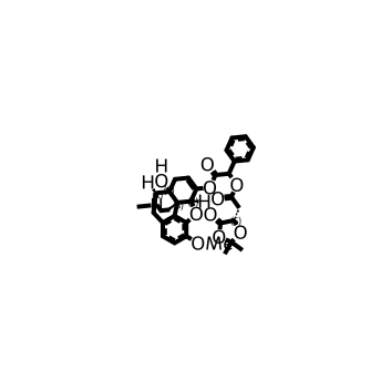 COc1ccc2c3c1O[C@H]1C(OC(=O)C(OC(=O)C[C@@H]4OC(C)(C)OC4=O)c4ccccc4)=CC[C@@]4(O)[C@@H](C2)N(C)CC[C@]314